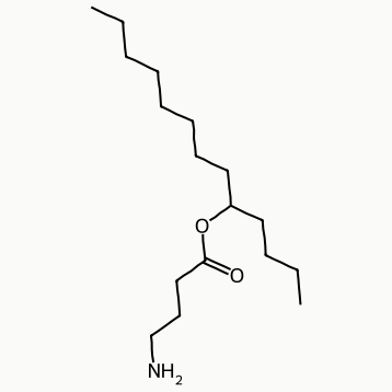 CCCCCCCCC(CCCC)OC(=O)CCCN